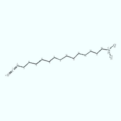 O=C=NCCCCCCCCCCCCCC[SiH](Cl)Cl